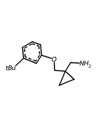 CC(C)(C)c1cccc(OCC2(CN)CC2)c1